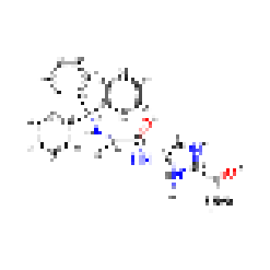 COC(=O)c1ncc(NC(=O)C2C[N@]2C(c2ccccc2)(c2ccccc2)c2ccccc2)n1C